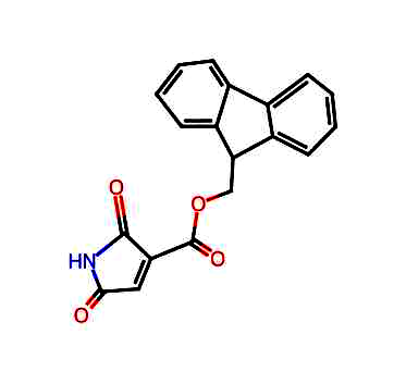 O=C1C=C(C(=O)OCC2c3ccccc3-c3ccccc32)C(=O)N1